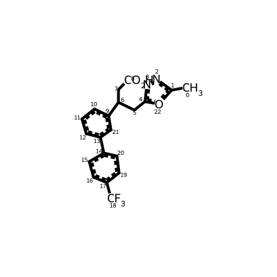 Cc1nnc(CC(CC(=O)O)c2cccc(-c3ccc(C(F)(F)F)cc3)c2)o1